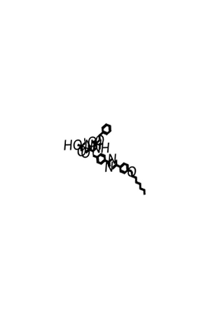 CCCCCCCOc1ccc(-c2cnc(-c3ccc(C[C@H](NC(=O)OCc4ccccc4)C(=O)N[C@H](C)C(=O)O)cc3)nc2)cc1